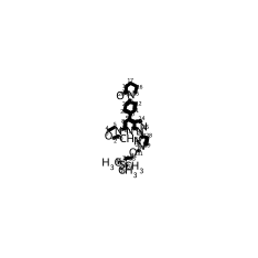 C[C@@H]1COCCN1c1cc(-c2ccc(N3CCCCC3=O)cc2)c2cnn(-c3ccn(COCC[Si](C)(C)C)n3)c2n1